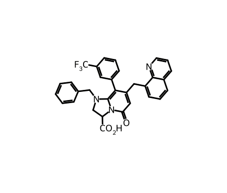 O=C(O)C1CN(Cc2ccccc2)c2c(-c3cccc(C(F)(F)F)c3)c(Cc3cccc4cccnc34)cc(=O)n21